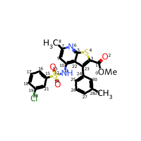 COC(=O)c1sc2nc(C)cc(NS(=O)(=O)c3cccc(Cl)c3)c2c1-c1cccc(C)c1